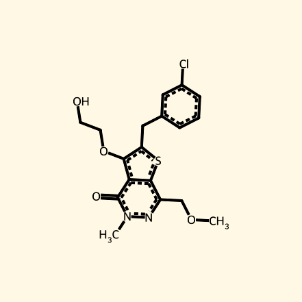 COCc1nn(C)c(=O)c2c(OCCO)c(Cc3cccc(Cl)c3)sc12